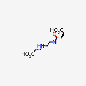 O=C(O)/C=C\C(=O)NCCNCCC(=O)O